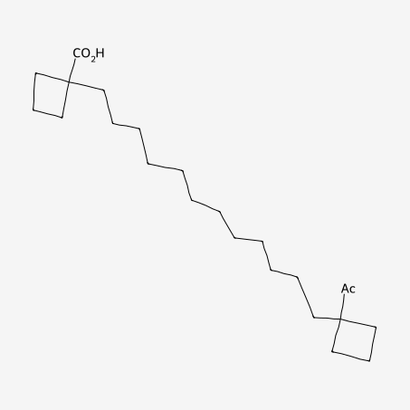 CC(=O)C1(CCCCCCCCCCCCC2(C(=O)O)CCC2)CCC1